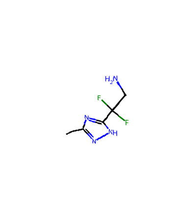 Cc1n[nH]c(C(F)(F)CN)n1